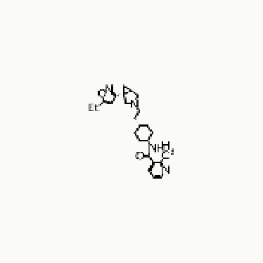 CCc1cc([C@]23CC2CN(CC[C@H]2CC[C@H](NC(=O)c4cccnc4C)CC2)C3)no1